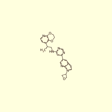 C[C@H](CNc1cc(-c2cnc3c(ccn3C3COC3)c2)ncn1)c1ccnc2c1OCCO2